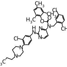 CCCN1CCN(c2ccc(Nc3nccc(N(Cc4cc(Cl)ccc4C)C(=O)Oc4c(C)cc(C)cc4C)n3)cc2Cl)CC1